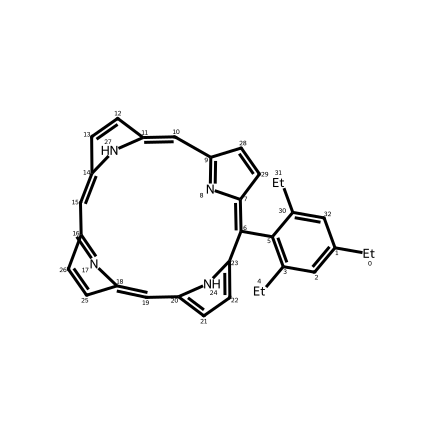 CCc1cc(CC)c(-c2c3nc(cc4ccc(cc5nc(cc6ccc2[nH]6)C=C5)[nH]4)C=C3)c(CC)c1